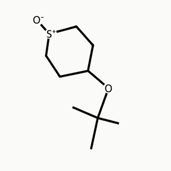 CC(C)(C)OC1CC[S+]([O-])CC1